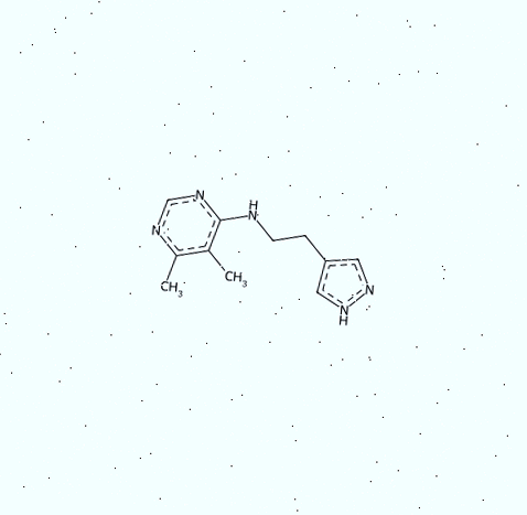 Cc1ncnc(NCCc2cn[nH]c2)c1C